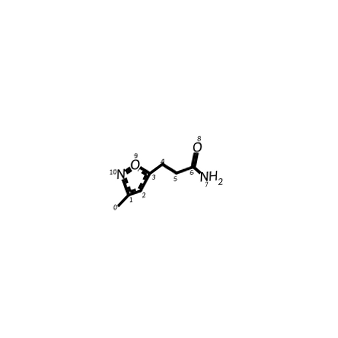 Cc1cc(CCC(N)=O)on1